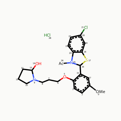 COc1ccc(OCCCN2CCCC2O)c(C2Sc3cc(Cl)ccc3N2C(C)=O)c1.Cl